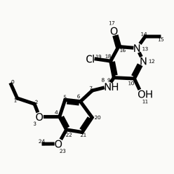 CCCOc1cc(CNc2c(O)nn(CC)c(=O)c2Cl)ccc1OC